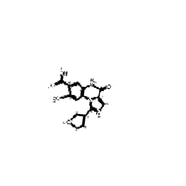 Cc1cc2c(cc1C(=O)O)[nH]c(=O)c1cnc(C3CCOC3)n12